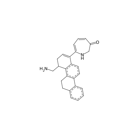 NCC1CC=C(C2=CC=CC(=O)CN2)c2ccc3c(c21)CCc1ccccc1-3